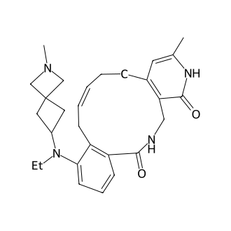 CCN(c1cccc2c1CC=CCCc1cc(C)[nH]c(=O)c1CNC2=O)C1CC2(C1)CN(C)C2